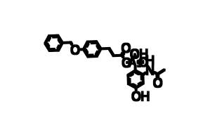 CC(=O)Nc1cc(O)ccc1[As](=O)(O)OC(=O)CCc1ccc(OCc2ccccc2)cc1